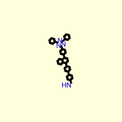 N=Cc1ccc(-c2ccc(-c3ccc(-c4ccc(-c5nc(-c6ccccc6)nc(-c6ccccc6)n5)cc4)c4ccccc34)cc2)cc1